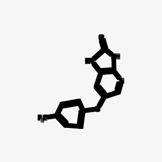 O=c1[nH]c2cc(Oc3ccc(C(F)(F)F)cc3)cnc2[nH]1